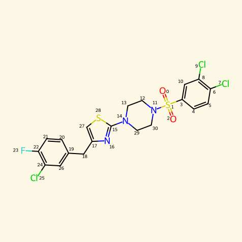 O=S(=O)(c1ccc(Cl)c(Cl)c1)N1CCN(c2nc(Cc3ccc(F)c(Cl)c3)cs2)CC1